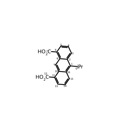 CC(C)c1c2cccc(C(=O)O)c2cc2c(C(=O)O)cccc12